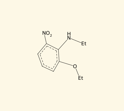 CCNc1c(OCC)cccc1[N+](=O)[O-]